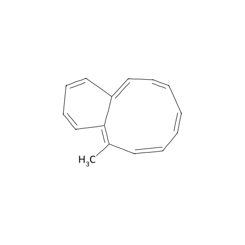 Cc1cccccccc2ccccc12